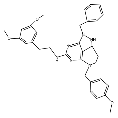 COc1ccc(CN2CCC3NN(Cc4ccccc4)c4nc(NCCc5cc(OC)cc(OC)c5)nc2c43)cc1